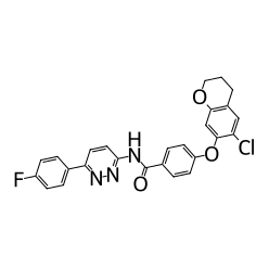 O=C(Nc1ccc(-c2ccc(F)cc2)nn1)c1ccc(Oc2cc3c(cc2Cl)CCCO3)cc1